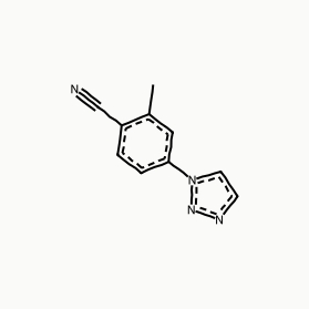 Cc1cc(-n2ccnn2)ccc1C#N